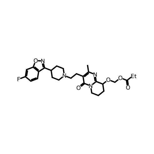 CCC(=O)OCOC1CCCn2c1nc(C)c(CCN1CCC(c3noc4cc(F)ccc34)CC1)c2=O